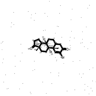 C[C@]12C=C(Br)C(=O)CC1CC[C@@H]1[C@@H]2CC[C@]2(C)C(=O)CC[C@@H]12